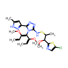 C=C/C(OC)=C(\C(=C/C)OC)n1c(NSC(C)C(OC)c2ncc(Cl)s2)nnc1-c1cc(C)[nH]n1